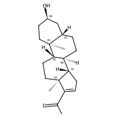 CC(=O)C1=CC[C@H]2[C@@H]3CC[C@H]4C[C@H](O)CC[C@]4(C)[C@H]3CC[C@]12C